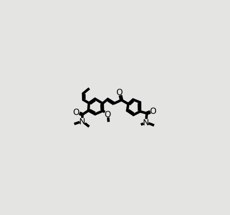 C/C=C\c1cc(/C=C/C(=O)c2ccc(C(=O)N(C)C)cc2)c(OC)cc1C(=O)N(C)C